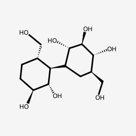 OC[C@H]1CC([C@@H]2[C@@H](CO)CC[C@H](O)[C@H]2O)[C@H](O)[C@@H](O)[C@@H]1O